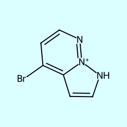 Brc1ccn[n+]2[nH]ccc12